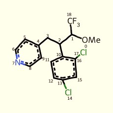 COC(C(Cc1ccncc1)c1ccc(Cl)cc1Cl)C(F)(F)F